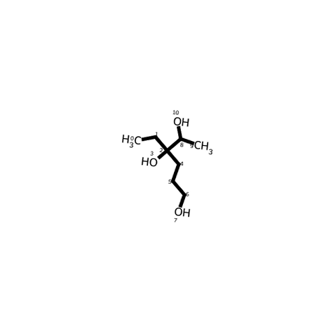 CCC(O)(CCCO)C(C)O